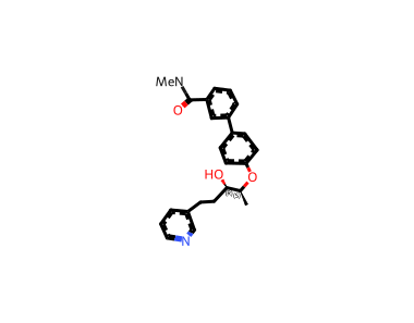 CNC(=O)c1cccc(-c2ccc(O[C@@H](C)[C@H](O)CCc3cccnc3)cc2)c1